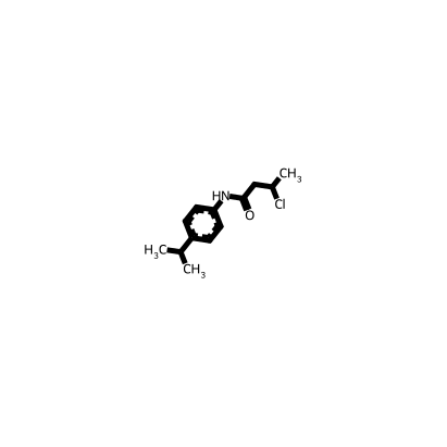 CC(Cl)CC(=O)Nc1ccc(C(C)C)cc1